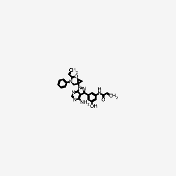 C=CC(=O)Nc1cc(O)cc(-c2nn(C3(CN(C(=O)C=C)c4ccccc4)CC3)c3ncnc(N)c23)c1